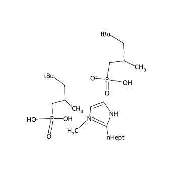 CC(CC(C)(C)C)CP(=O)(O)O.CC(CC(C)(C)C)CP(=O)([O-])O.CCCCCCCc1[nH]cc[n+]1C